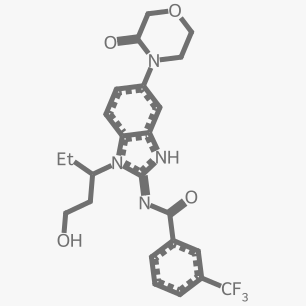 CCC(CCO)n1/c(=N/C(=O)c2cccc(C(F)(F)F)c2)[nH]c2cc(N3CCOCC3=O)ccc21